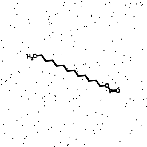 CCCCCCCCCCCCCOP=O